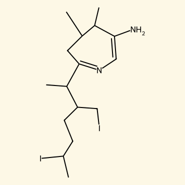 CC(I)CCC(CI)C(C)C1=NC=C(N)C(C)C(C)C1